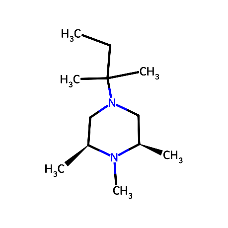 CCC(C)(C)N1C[C@@H](C)N(C)[C@@H](C)C1